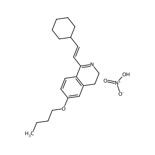 CCCCOc1ccc2c(c1)CCN=C2/C=C/C1CCCCC1.O=[N+]([O-])O